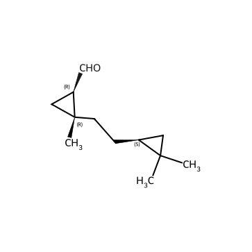 CC1(C)C[C@@H]1CC[C@]1(C)C[C@H]1C=O